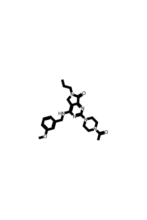 CCCN1Cc2c(NCc3cccc(OC)c3)nc(N3CCN(C(C)=O)CC3)nc2C1=O